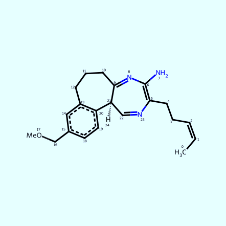 C/C=C\CCC1=C(N)N=C2CCCc3cc(COC)ccc3[C@@H]2C=N1